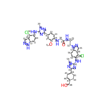 COc1cc(-c2nc(Nc3ccc4[nH]ncc4c3Cl)n(C)n2)ccc1NCC(=O)NC(C)Cn1ncc2c(Cl)c(Nc3nc(C4=CC=C(CO)CC4)nn3C)ccc21